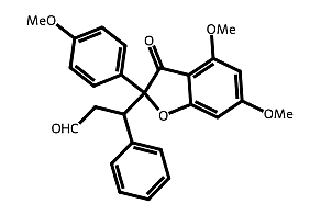 COc1ccc(C2(C(CC=O)c3ccccc3)Oc3cc(OC)cc(OC)c3C2=O)cc1